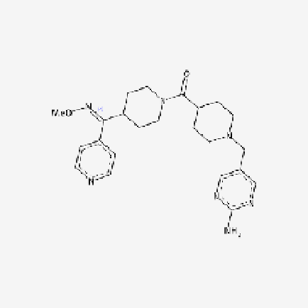 CO/N=C(\c1ccncc1)C1CCN(C(=O)C2CCN(Cc3cnc(N)nc3)CC2)CC1